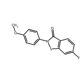 COc1ccc(-n2sc3cc(F)ccc3c2=O)cc1